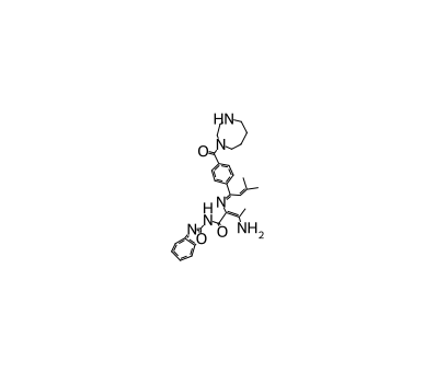 CC(C)=C/C(=N\C(C(=O)Nc1nc2ccccc2o1)=C(/C)N)c1ccc(C(=O)N2CCCCNCC2)cc1